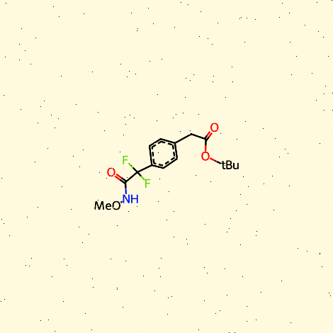 CONC(=O)C(F)(F)c1ccc(CC(=O)OC(C)(C)C)cc1